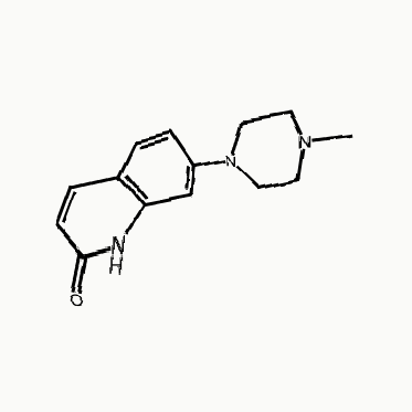 CN1CCN(c2ccc3ccc(=O)[nH]c3c2)CC1